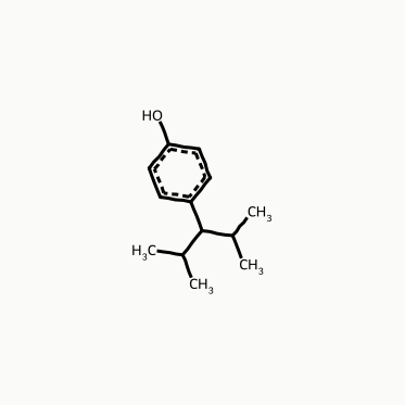 CC(C)C(c1ccc(O)cc1)C(C)C